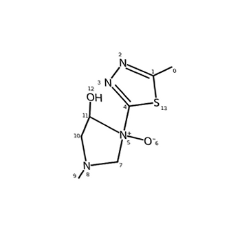 Cc1nnc([N+]2([O-])CN(C)CC2O)s1